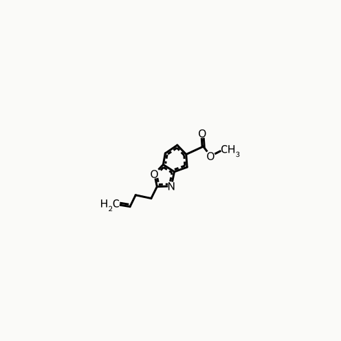 C=CCCc1nc2cc(C(=O)OC)ccc2o1